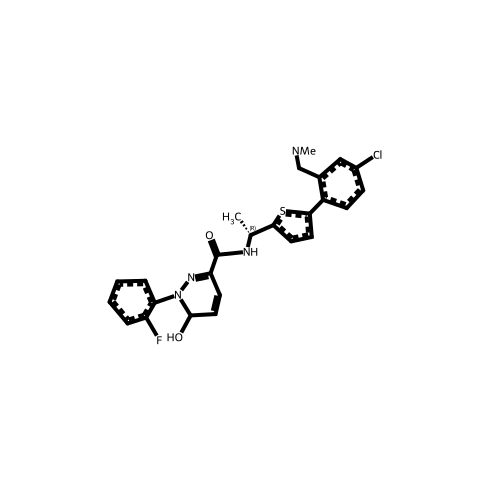 CNCc1cc(Cl)ccc1-c1ccc([C@@H](C)NC(=O)C2=NN(c3ccccc3F)C(O)C=C2)s1